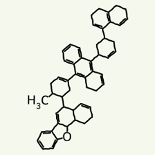 CC1CC=C(c2c3c(c(C4C=CCC(C5=CCCC6=C5C=CCC6)C4)c4ccccc24)C=CCC3)CC1C1C=C2c3ccccc3OC2C2CCC=CC12